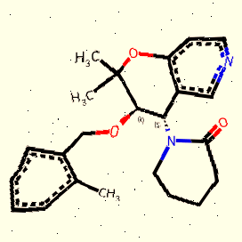 Cc1ccccc1CO[C@@H]1[C@@H](N2CCCCC2=O)c2cnccc2OC1(C)C